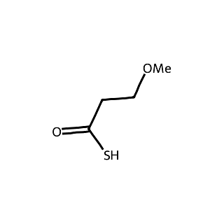 COCCC(=O)S